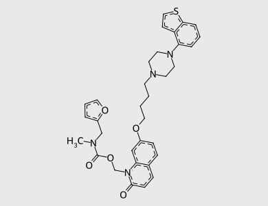 CN(Cc1ccco1)C(=O)OCn1c(=O)ccc2ccc(OCCCCN3CCN(c4cccc5sccc45)CC3)cc21